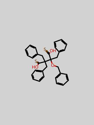 OC(=S)C(Cc1ccccc1)(Cc1ccccc1)C(Cc1ccccc1)(OCc1ccccc1)C(O)=S